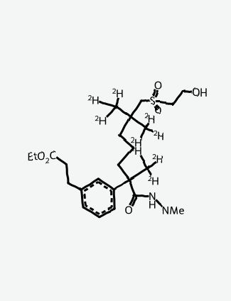 [2H]C([2H])([2H])C(CCCC(CS(=O)(=O)CCO)(C([2H])([2H])[2H])C([2H])([2H])[2H])(C(=O)NNC)c1cccc(CCC(=O)OCC)c1